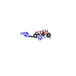 CC1(C)[C@H](NC(=O)c2ccc(CCCN3CCNCC3)cc2)C(C)(C)[C@H]1Oc1ccccc1